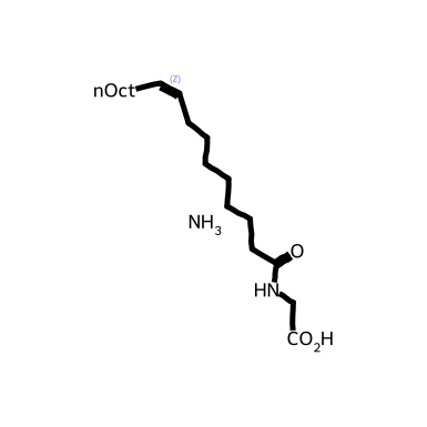 CCCCCCCC/C=C\CCCCCCCC(=O)NCC(=O)O.N